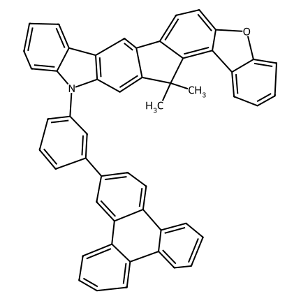 CC1(C)c2cc3c(cc2-c2ccc4oc5ccccc5c4c21)c1ccccc1n3-c1cccc(-c2ccc3c4ccccc4c4ccccc4c3c2)c1